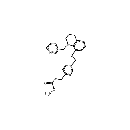 NOC(=O)CCc1ccc(COc2cccc3c2N(Cc2cccnc2)CCC3)cc1